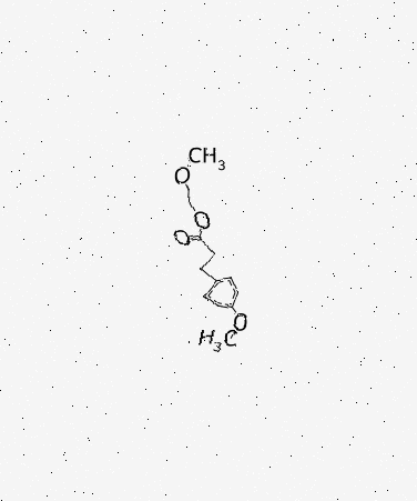 COCCOC(=O)CCc1ccc(OC)cc1